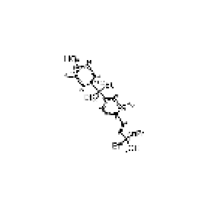 CCCC(O)(/C=C/c1ccc(C(CC)(CC)c2ccc(O)c(C)c2)cc1C)CC